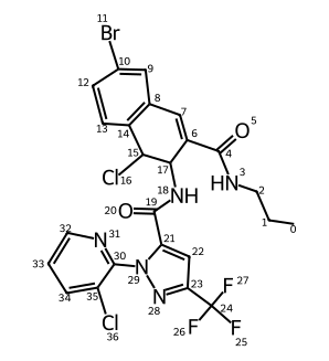 CCCNC(=O)C1=Cc2cc(Br)ccc2C(Cl)C1NC(=O)c1cc(C(F)(F)F)nn1-c1ncccc1Cl